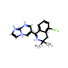 CC1(C)Cc2c(F)cccc2C(c2cnc3nccn3c2)=N1